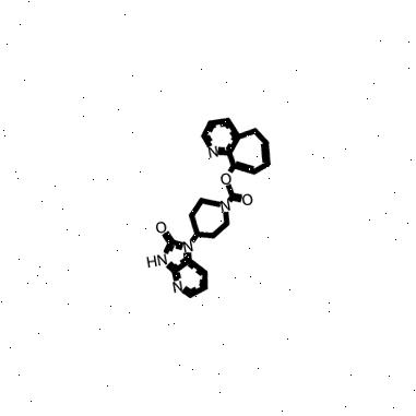 O=C(OC1=CC=CCc2cccnc21)N1CCC(n2c(=O)[nH]c3ncccc32)CC1